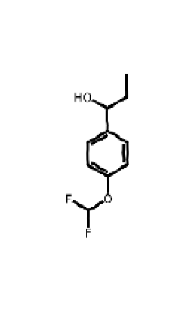 CCC(O)c1ccc(OC(F)F)cc1